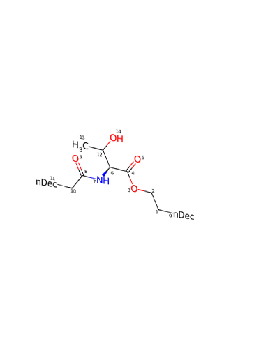 CCCCCCCCCCCCOC(=O)[C@@H](NC(=O)CCCCCCCCCCC)C(C)O